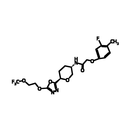 Cc1ccc(OCC(=O)N[C@H]2CC[C@H](c3nnc(OCCOC(F)(F)F)o3)OC2)cc1F